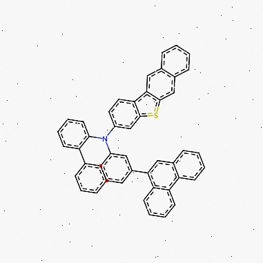 c1ccc(-c2ccccc2N(c2cccc(-c3cc4ccccc4c4ccccc34)c2)c2ccc3c(c2)sc2cc4ccccc4cc23)cc1